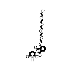 O=C1CCC(N2C(=O)c3cccc(SCCOCCOCCOCCOCCBr)c3C2=O)C(=O)N1